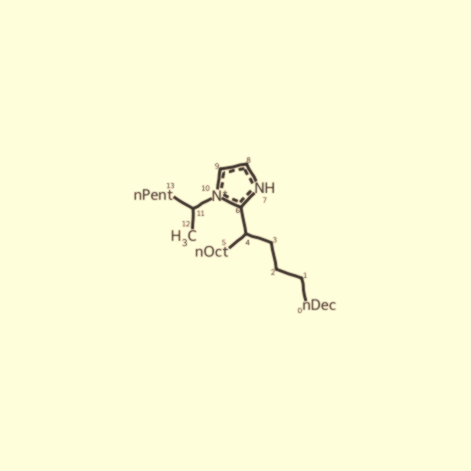 CCCCCCCCCCCCCC(CCCCCCCC)c1[nH]cc[n+]1C(C)CCCCC